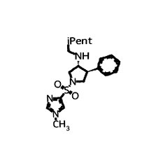 CCCC(C)CN[C@H]1CN(S(=O)(=O)c2cn(C)cn2)C[C@@H]1c1ccccc1